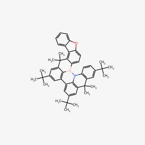 CC(C)(C)c1ccc2c(c1)C(C)(C)c1cc(C(C)(C)C)cc3c1N2B1c2ccc4oc5ccccc5c4c2C(C)(C)c2cc(C(C)(C)C)cc-3c21